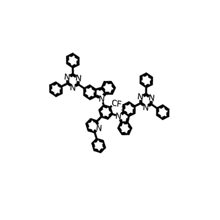 FC(F)(F)c1c(-n2c3ccccc3c3cc(-c4nc(-c5ccccc5)nc(-c5ccccc5)n4)ccc32)cc(-c2cccc(-c3ccccc3)n2)cc1-n1c2ccccc2c2cc(-c3nc(-c4ccccc4)nc(-c4ccccc4)n3)ccc21